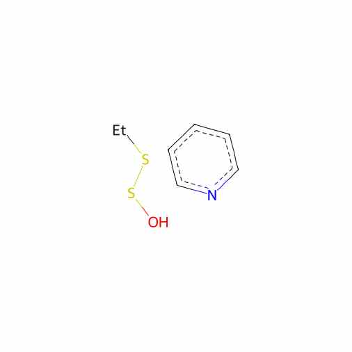 CCSSO.c1ccncc1